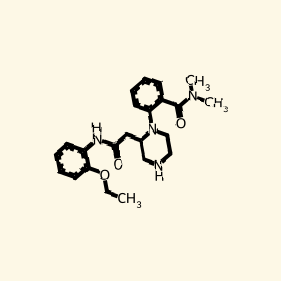 CCOc1ccccc1NC(=O)CC1CNCCN1c1ccccc1C(=O)N(C)C